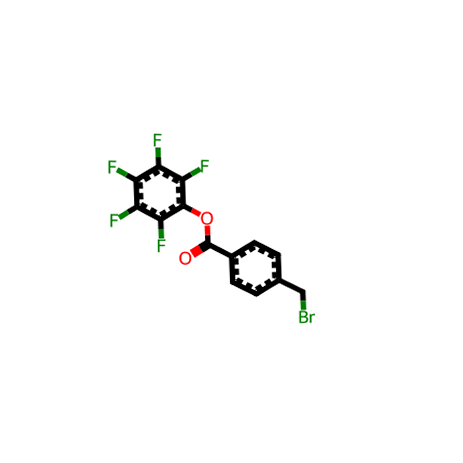 O=C(Oc1c(F)c(F)c(F)c(F)c1F)c1ccc(CBr)cc1